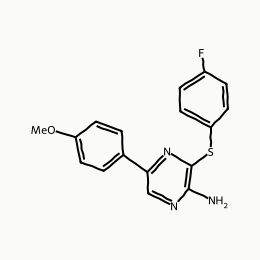 COc1ccc(-c2cnc(N)c(Sc3ccc(F)cc3)n2)cc1